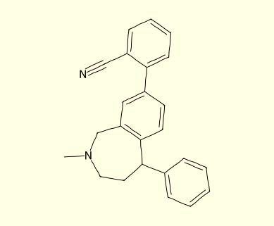 CN1CCC(c2ccccc2)c2ccc(-c3ccccc3C#N)cc2C1